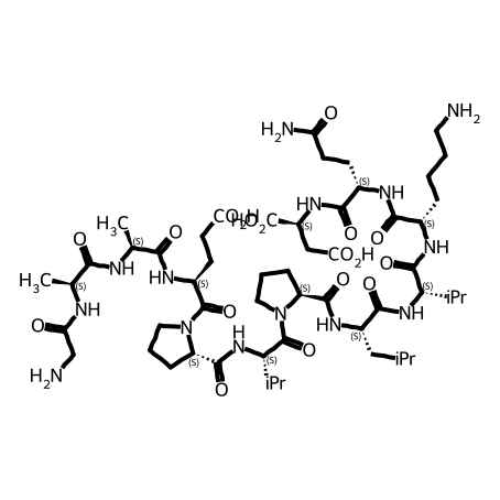 CC(C)C[C@H](NC(=O)[C@@H]1CCCN1C(=O)[C@@H](NC(=O)[C@@H]1CCCN1C(=O)[C@H](CCC(=O)O)NC(=O)[C@H](C)NC(=O)[C@H](C)NC(=O)CN)C(C)C)C(=O)N[C@H](C(=O)N[C@@H](CCCCN)C(=O)N[C@@H](CCC(N)=O)C(=O)N[C@@H](CC(=O)O)C(=O)O)C(C)C